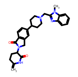 C=C1CCC(N2Cc3cc(C4CCN(Cc5nc6ccccc6n5C)CC4)ccc3C2=O)C(=O)N1